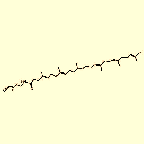 CC(C)=CCC/C(C)=C/CC/C(C)=C/CC/C=C(\C)CC/C=C(\C)CC/C=C(\C)CCC(=O)NCCNC=O